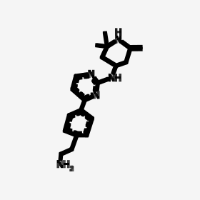 C=C1CC(Nc2nccc(-c3ccc(CCN)cc3)n2)CC(C)(C)N1